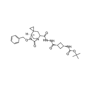 CC(C)(C)OC(=O)N[C@H]1C[C@@H](C(=O)NNC(=O)C2CC3(CC3)[C@H]3CN2C(=O)N3OCc2ccccc2)C1